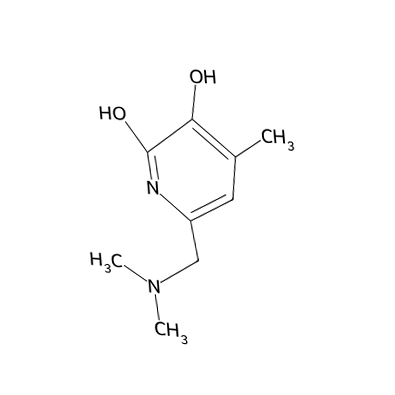 Cc1cc(CN(C)C)nc(O)c1O